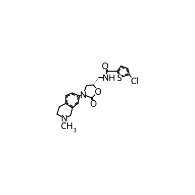 CN1CCc2ccc(N3C[C@H](CNC(=O)c4ccc(Cl)s4)OC3=O)cc2C1